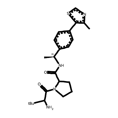 Cc1ncsc1-c1ccc([C@H](C)NC(=O)C2CCCN2C(=O)C(N)C(C)(C)C)cc1